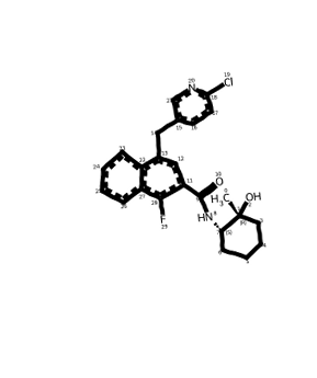 C[C@@]1(O)CCCC[C@@H]1NC(=O)c1cc(Cc2ccc(Cl)nc2)c2ccccc2c1F